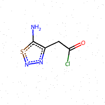 Nc1snnc1CC(=O)Cl